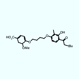 COC1CC(C(=O)O)=CC=C1OCCCCOc1ccc(C(=O)CC(C)(C)C)c(O)c1C